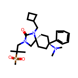 CN(C)[C@]1(c2ccccc2)CC[C@]2(CC1)CN(CC(C)(C)S(C)(=O)=O)C(=O)N2CC1CCC1